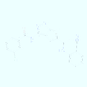 N#Cc1ccccc1NC(=O)c1cc2c(NC(=O)c3cccc(Cl)c3)n[nH]c2s1